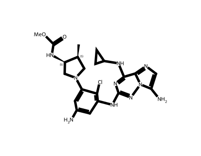 COC(=O)N[C@@H]1CN(c2cc(N)cc(Nc3nc(NC4CC4)c4ncc(N)n4n3)c2Cl)C[C@@H]1C